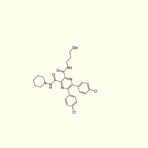 O=C(NCCCO)c1nc(-c2ccc(Cl)cc2)c(-c2ccc(Cl)cc2)nc1C(=O)NN1CCCCC1